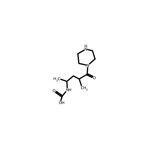 CC(CC(C)C(=O)N1CCNCC1)NC(=O)O